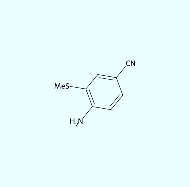 CSc1cc(C#N)ccc1N